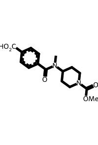 COC(=O)N1CCC(N(C)C(=O)c2ccc(C(=O)O)cc2)CC1